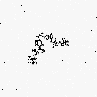 CC(CC[N+](C)(C)CCC(C)(C)OCC[N+](C)(C)C)Cc1ccc(C(=O)NCCCC(=O)C(C)C)cn1